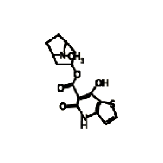 CN1C2CCC1CC(OC(=O)c1c(O)c3sccc3[nH]c1=O)C2